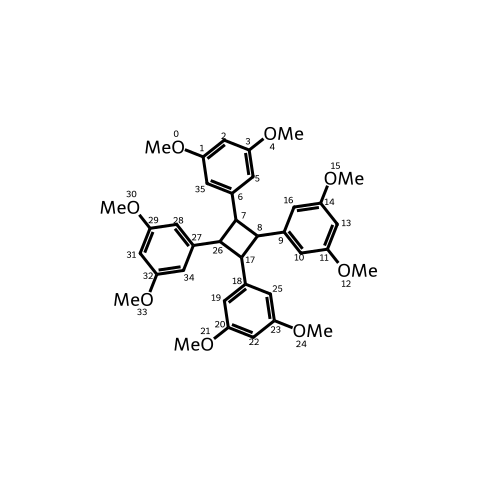 COc1cc(OC)cc(C2C(c3cc(OC)cc(OC)c3)C(c3cc(OC)cc(OC)c3)C2c2cc(OC)cc(OC)c2)c1